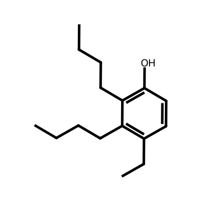 CCCCc1c(O)ccc(CC)c1CCCC